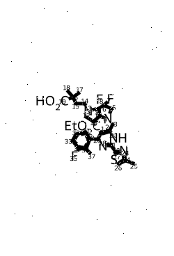 CCOC(=O)C1=C(CN2CC(F)(F)C3C2CCN3CCC(C)(C)C(=O)O)NC(c2nc(C)cs2)=NC1c1cccc(F)c1C